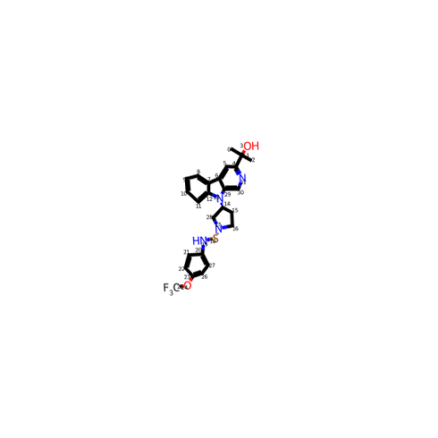 CC(C)(O)c1cc2c3ccccc3n([C@H]3CCN(SNc4ccc(OC(F)(F)F)cc4)C3)c2cn1